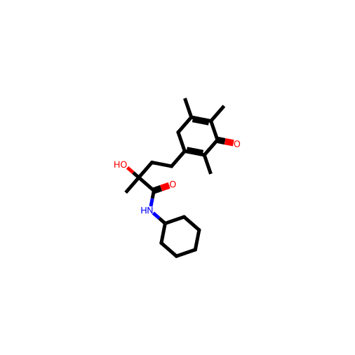 CC1=C(C)C(=O)C(C)=C(CCC(C)(O)C(=O)NC2CCCCC2)C1